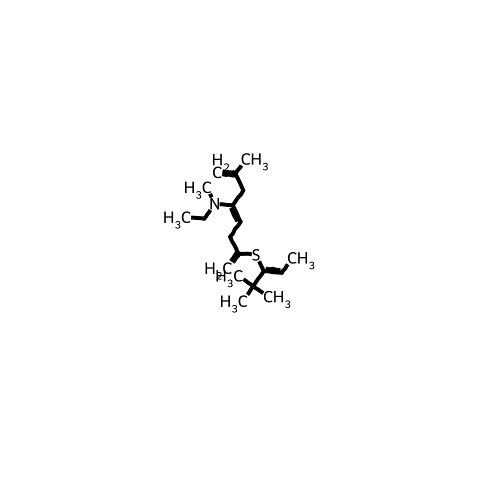 C=C(C)C/C(=C/CC(=C)S/C(=C\C)C(C)(C)C)N(C)CC